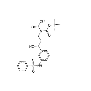 CC(C)(C)OC(=O)N(CCC(O)c1cccc(NS(=O)(=O)c2ccccc2)c1)C(=O)O